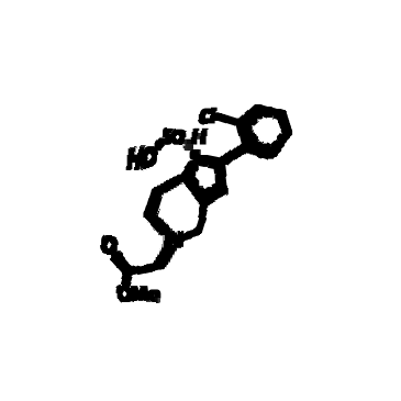 COC(=O)CN1CCc2sc(-c3ccccc3Cl)cc2C1.O=S(=O)(O)O